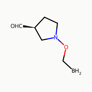 BCON1CC[C@H](C=O)C1